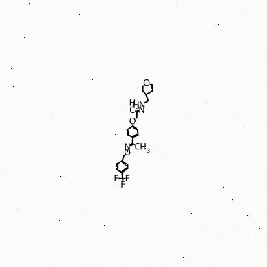 C/C(COc1ccc(/C(C)=N/OCc2ccc(C(F)(F)F)cc2)cc1)=N\NCC1CCOCC1